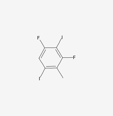 Cc1c(I)cc(F)c(I)c1F